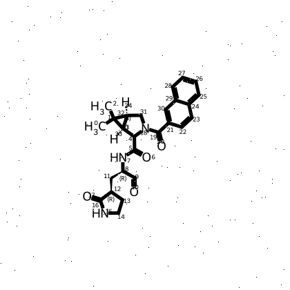 CC1(C)[C@@H]2C(C(=O)N[C@@H](C=O)C[C@H]3CCNC3=O)N(C(=O)c3ccc4ccccc4c3)C[C@@H]21